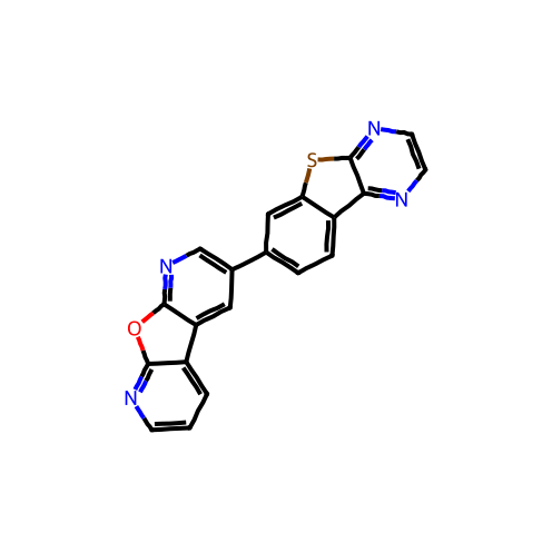 c1cnc2oc3ncc(-c4ccc5c(c4)sc4nccnc45)cc3c2c1